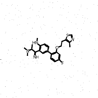 CNc1ccc(-c2ccc(F)cc2OCCc2scnc2C)cc1C(=N)C(C)N(C)C